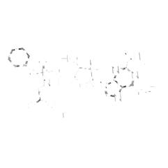 CCOc1nc(N)nc2c1ncn2[C@@H]1O[C@H](COP(=O)(N[C@@H](C)C(=O)OC(C)C)Oc2ccccc2)[C@@H](O)C1(C)C